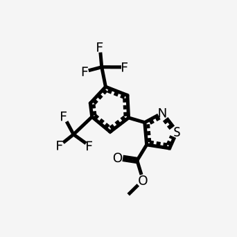 COC(=O)c1csnc1-c1cc(C(F)(F)F)cc(C(F)(F)F)c1